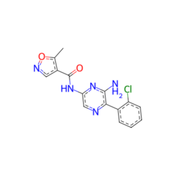 Cc1oncc1C(=O)Nc1cnc(-c2ccccc2Cl)c(N)n1